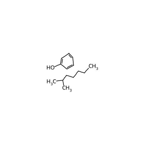 CCCCCC(C)C.Oc1ccccc1